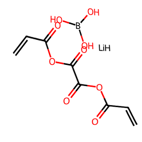 C=CC(=O)OC(=O)C(=O)OC(=O)C=C.OB(O)O.[LiH]